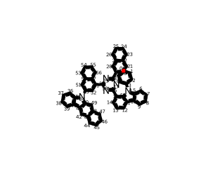 c1ccc(-n2c3ccccc3c3cccc(-c4nc(-c5ccc6ccccc6c5)nc(-c5cc(-n6c7ccccc7c7cc8ccccc8cc76)cc6ccccc56)n4)c32)cc1